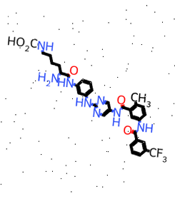 Cc1ccc(NC(=O)c2cccc(C(F)(F)F)c2)cc1C(=O)Nc1cnc(Nc2cccc(NC(=O)C(N)CCCCNC(=O)O)c2)nc1